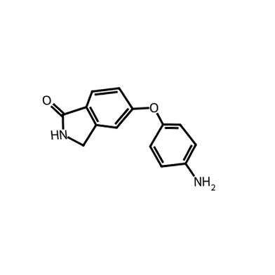 Nc1ccc(Oc2ccc3c(c2)CNC3=O)cc1